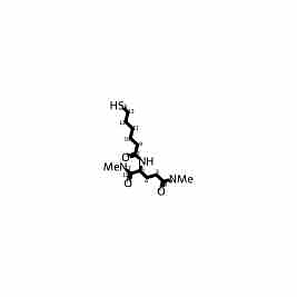 CNC(=O)CCC(NC(=O)CCCCCS)C(=O)NC